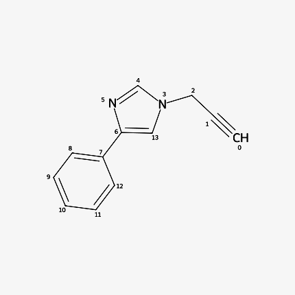 C#CCn1cnc(-c2ccccc2)c1